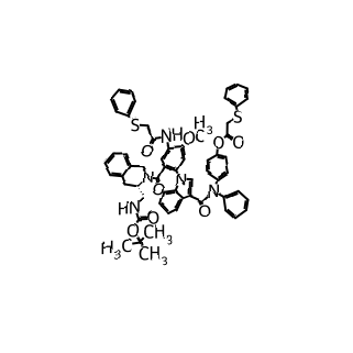 COc1cc(-n2cc(C(=O)N(c3ccccc3)c3ccc(OC(=O)CSc4ccccc4)cc3)c3ccccc32)c(C(=O)N2Cc3ccccc3C[C@H]2CNC(=O)OC(C)(C)C)cc1NC(=O)CSc1ccccc1